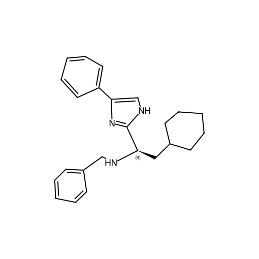 c1ccc(CN[C@H](CC2CCCCC2)c2nc(-c3ccccc3)c[nH]2)cc1